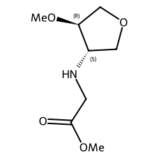 COC(=O)CN[C@H]1COC[C@@H]1OC